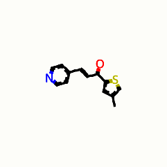 Cc1csc(C(=O)C=Cc2ccncc2)c1